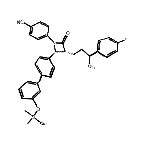 CC(C)(C)[Si](C)(C)Oc1cccc(-c2ccc([C@@H]3[C@@H](CC[C@H](O)c4ccc(F)cc4)C(=O)N3c3ccc(C#N)cc3)cc2)c1